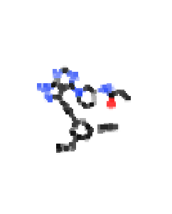 C=CC(=O)NC1CCCN(c2ncnc3[nH]nc(C#Cc4cc(OC)cc(OC)c4)c23)C1